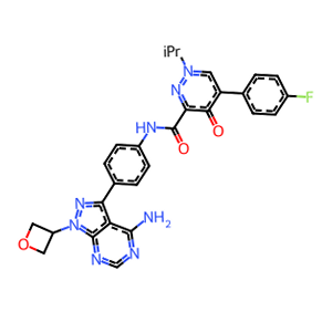 CC(C)n1cc(-c2ccc(F)cc2)c(=O)c(C(=O)Nc2ccc(-c3nn(C4COC4)c4ncnc(N)c34)cc2)n1